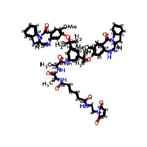 BC(B)(Oc1cc2c(cc1OC)C(=O)N1c3ccccc3C[C@H]1C=N2)c1cc(NC(=O)[C@H](C)NC(=O)[C@H](C)NC(=O)CCCCC(=O)NCCN2C(=O)C=CC2=O)cc(C(B)(B)Oc2cc3c(cc2OC)C(=O)N2c4ccccc4C[C@H]2CN3)c1